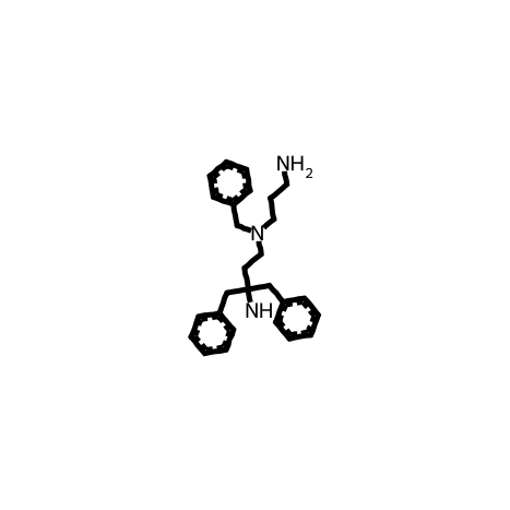 NCCCN(CCC(N)(Cc1ccccc1)Cc1ccccc1)Cc1ccccc1